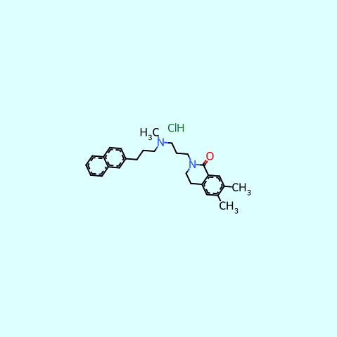 Cc1cc2c(cc1C)C(=O)N(CCCN(C)CCCc1ccc3ccccc3c1)CC2.Cl